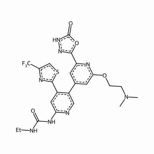 CCNC(=O)Nc1cc(-c2nc(C(F)(F)F)cs2)c(-c2cc(OCCN(C)C)nc(-c3n[nH]c(=O)o3)c2)cn1